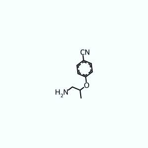 CC(CN)Oc1ccc(C#N)cc1